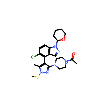 CSn1nc(N2CCN(C(C)=O)CC2)c(-c2c(Cl)ccc3c2cnn3C2CCCCO2)c1C